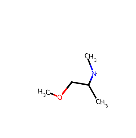 C[N]C(C)COC